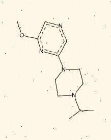 COc1cncc(N2CCN(C(C)C)CC2)n1